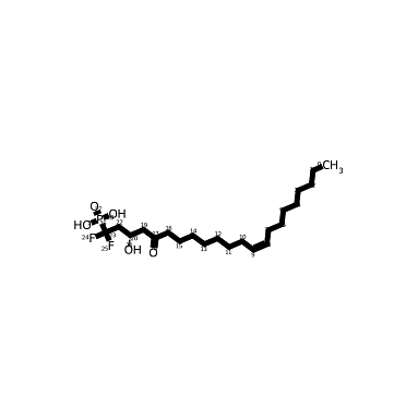 CCCCCCCC/C=C\CCCCCCCC(=O)C[C@H](O)CC(F)(F)P(=O)(O)O